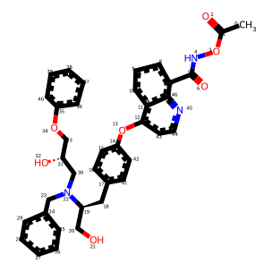 CC(=O)ONC(=O)c1cccc2c(Oc3ccc(C[C@@H](CO)N(Cc4ccccc4)C[C@H](O)COc4ccccc4)cc3)ccnc12